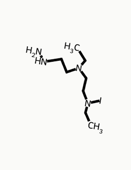 CCN(I)CCN(CC)CCNN